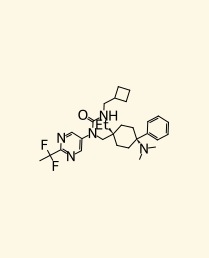 CC[C@]1(CN(C(=O)NCC2CCC2)c2cnc(C(C)(F)F)nc2)CC[C@](c2ccccc2)(N(C)C)CC1